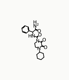 NC(=O)C(NC(=O)N1CCN(C2CCCCC2)C(=O)C1=O)c1ccccc1